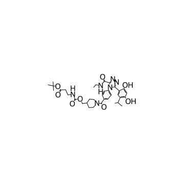 CCNC(=O)c1nnc(-c2cc(C(C)C)c(O)cc2O)n1-c1ccc(C(=O)N2CCC(COC(=O)NCCC(=O)OC(C)(C)C)CC2)cc1